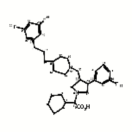 O=C(O)C(C1CCCCC1)N1CC(CN2CCC(CCCc3cc(F)cc(F)c3)CC2)C(c2cccc(F)c2)C1